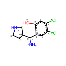 N[C@@H](c1cc(Cl)c(Cl)cc1O)[C@H]1CCNC1